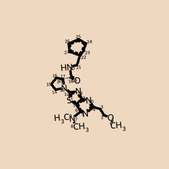 COCCc1nc(N(C)C)c2sc(N3CCC[C@@H]3C(=O)NCc3ccccc3)nc2n1